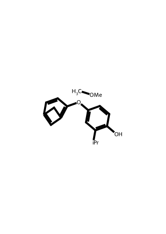 CC(C)c1cc(Oc2ccc3cc2C3)ccc1O.COC